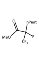 CCCCCC(F)(C(=O)OC)C(F)(F)F